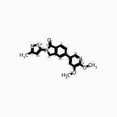 COc1cc(-c2ccc3c(c2)CN(c2cc(C)ns2)C3=O)cnc1OC